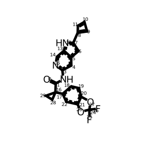 O=C(Nc1cc2cc(C3=CC=C3)[nH]c2cn1)C1(c2ccc3c(c2)OC(F)(F)O3)CC1